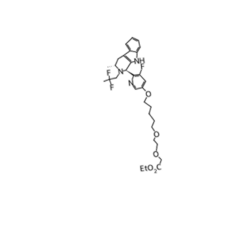 CCOC(=O)COCCOCCCCCOc1cnc([C@@H]2c3[nH]c4ccccc4c3C[C@@H](C)N2CC(C)(F)F)c(F)c1